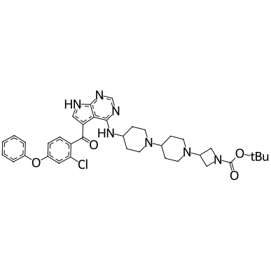 CC(C)(C)OC(=O)N1CC(N2CCC(N3CCC(Nc4ncnc5[nH]cc(C(=O)c6ccc(Oc7ccccc7)cc6Cl)c45)CC3)CC2)C1